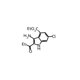 CCOC(=O)c1cc(Cl)cc2[nH]c(C(=O)CC)c(N)c12